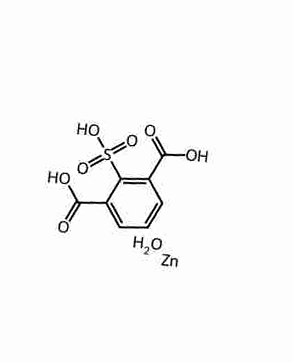 O.O=C(O)c1cccc(C(=O)O)c1S(=O)(=O)O.[Zn]